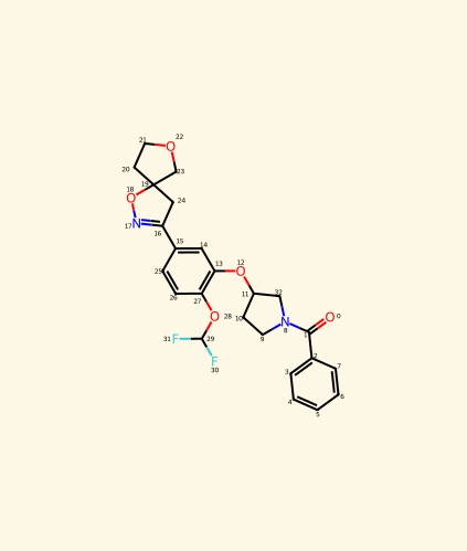 O=C(c1ccccc1)N1CCC(Oc2cc(C3=NOC4(CCOC4)C3)ccc2OC(F)F)C1